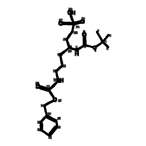 CC(C)(C)OC(=O)N[C@@H](CCCNC(=O)OCc1ccccc1)CCS(=O)(=O)O